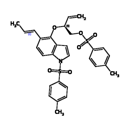 C=C[C@@H](COS(=O)(=O)c1ccc(C)cc1)Oc1c(/C=C/C)ccc2c1ccn2S(=O)(=O)c1ccc(C)cc1